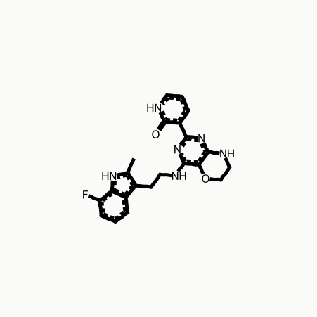 Cc1[nH]c2c(F)cccc2c1CCNc1nc(-c2ccc[nH]c2=O)nc2c1OCCN2